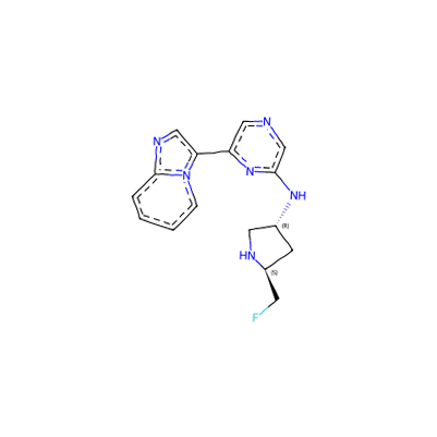 FC[C@@H]1C[C@@H](Nc2cncc(-c3cnc4ccccn34)n2)CN1